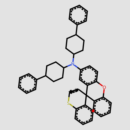 c1ccc(C2CCC(N(c3ccc4c(c3)C3(c5ccccc5O4)c4ccccc4Sc4ccccc43)C3CCC(c4ccccc4)CC3)CC2)cc1